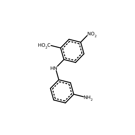 Nc1cccc(Nc2ccc([N+](=O)[O-])cc2C(=O)O)c1